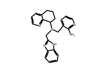 Nc1ncccc1CN(Cc1nc2ccccc2[nH]1)C1CCCc2cccnc21